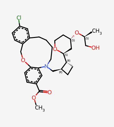 COC(=O)c1ccc2c(c1)N(C[C@@H]1CC[C@H]1[C@@H]1C[C@@H](O[C@@H](C)CO)CCO1)CCCCc1cc(Cl)ccc1CO2